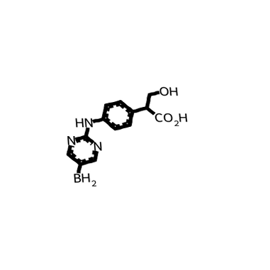 Bc1cnc(Nc2ccc(C(CO)C(=O)O)cc2)nc1